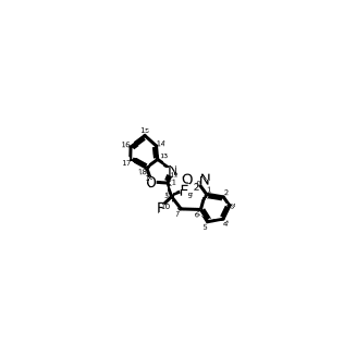 O=[N+]([O-])c1ccccc1CC(F)(F)c1nc2ccccc2o1